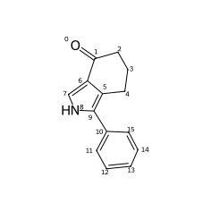 O=C1CCCc2c1c[nH]c2-c1ccccc1